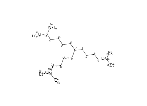 CC[16N](CC)CCCCC(CCCCC(N)N)CCCC[16N](CC)CC